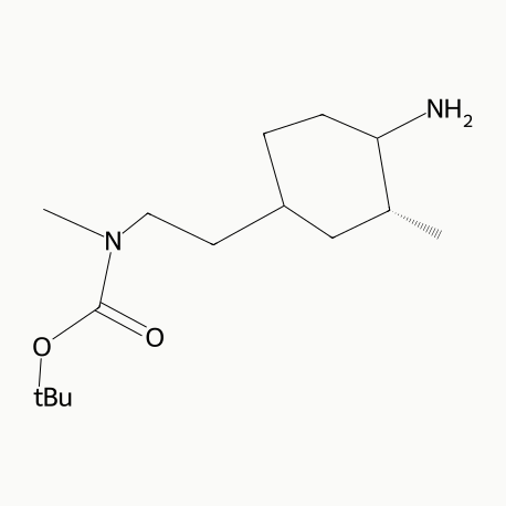 C[C@@H]1CC(CCN(C)C(=O)OC(C)(C)C)CCC1N